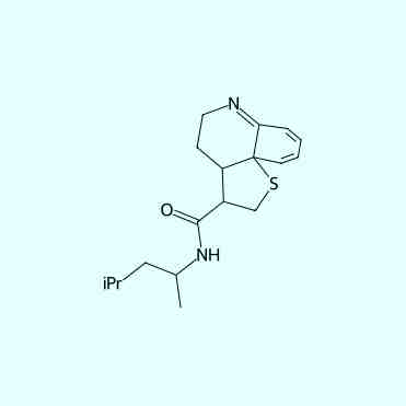 CC(C)CC(C)NC(=O)C1CSC23C=CC=CC2=NCCC13